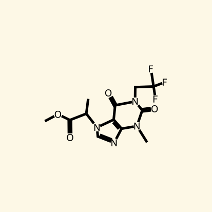 COC(=O)C(C)n1cnc2c1c(=O)n(CC(F)(F)F)c(=O)n2C